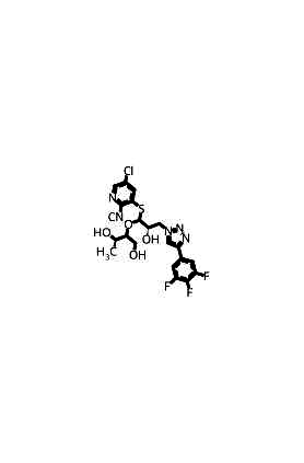 C[C@@H](O)C(CO)OC(Sc1cc(Cl)cnc1C#N)[C@@H](O)Cn1cc(-c2cc(F)c(F)c(F)c2)nn1